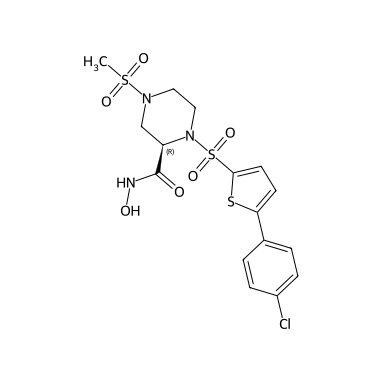 CS(=O)(=O)N1CCN(S(=O)(=O)c2ccc(-c3ccc(Cl)cc3)s2)[C@@H](C(=O)NO)C1